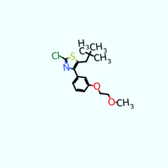 COCCOc1cccc(-c2nc(Cl)sc2CC(C)(C)C)c1